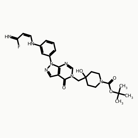 CC(C)(C)OC(=O)N1CCC(O)(Cn2cnc3c(cnn3-c3cccc(N/C=C\C(=N)F)c3)c2=O)CC1